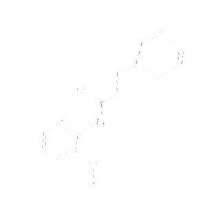 COc1ccccc1N(C)C(=O)CCc1ccccc1